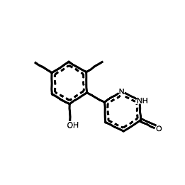 Cc1cc(C)c(-c2ccc(=O)[nH]n2)c(O)c1